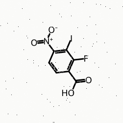 O=C(O)c1ccc([N+](=O)[O-])c(I)c1F